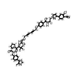 Cc1ncsc1-c1ccc(CNC(=O)[C@@H]2CCCN2C(=O)[C@@H](NC(=O)COCC#CC#CCOc2ccc(C(=O)N[C@@H](C)Cn3ccc(-c4ccc(C#N)c(Cl)c4)n3)cc2)C(C)(C)C)cc1